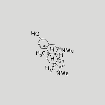 CNC1=CC[C@H]2[C@@H]3[C@@H](NC)CC4C=C(O)C=C[C@]4(C)[C@H]3CC[C@]12C